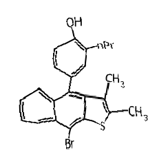 CCCc1cc(-c2c3ccccc3c(Br)c3sc(C)c(C)c23)ccc1O